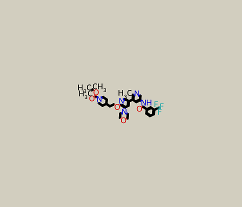 Cc1ncc(NC(=O)c2cccc(C(F)(F)F)c2)cc1-c1cnc(OCCC2CCN(C(=O)OC(C)(C)C)CC2)c(N2CCOCC2)c1